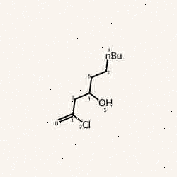 C=C(Cl)CC(O)CCCCCC